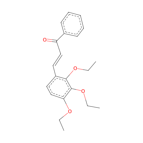 CCOc1ccc(C=CC(=O)c2ccccc2)c(OCC)c1OCC